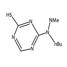 CCCCN(NC)c1ncnc(S)n1